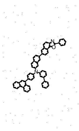 c1ccc(-c2cccc(N(c3ccc(-c4cc5ccccc5c5ccccc45)cc3)c3ccc4ccc(-c5ccc6c(ccc7nc(-c8ccccc8)oc76)c5)cc4c3)c2)cc1